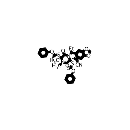 CCC(c1ccc2c(c1)OCO2)N1C(=O)[C@](C)(SC(=S)Oc2ccccc2)N(C)C(=O)[C@]1(CCC#N)SC(=S)Oc1ccccc1